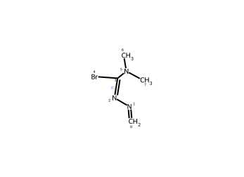 C=N/N=C(/Br)N(C)C